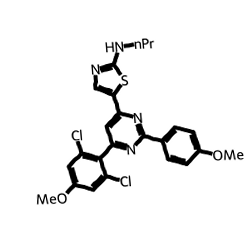 CCCNc1ncc(-c2cc(-c3c(Cl)cc(OC)cc3Cl)nc(-c3ccc(OC)cc3)n2)s1